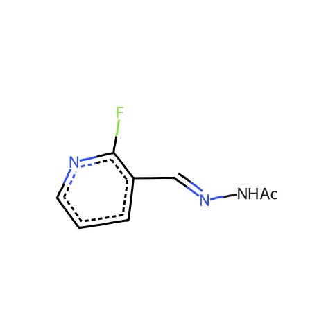 CC(=O)NN=Cc1cccnc1F